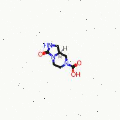 O=C(O)N1CCN2C(=O)NC[C@H]2C1